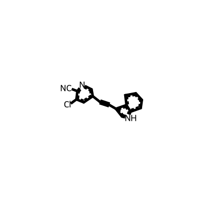 N#Cc1ncc(C#Cc2c[nH]c3ccccc23)cc1Cl